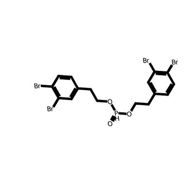 O=[PH](OCCc1ccc(Br)c(Br)c1)OCCc1ccc(Br)c(Br)c1